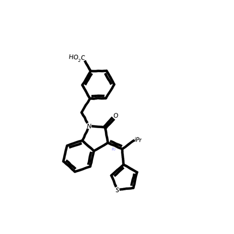 CC(C)/C(=C1\C(=O)N(Cc2cccc(C(=O)O)c2)c2ccccc21)c1ccsc1